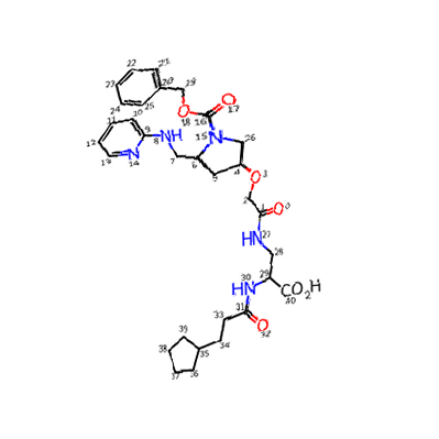 O=C(COC1CC(CNc2ccccn2)N(C(=O)OCc2ccccc2)C1)NCC(NC(=O)CCC1CCCC1)C(=O)O